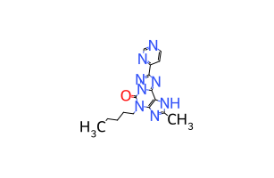 CCCCCn1c(=O)n2nc(-c3ccncn3)nc2c2[nH]c(C)nc21